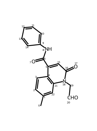 Cc1ccc2c(C(=O)Nc3ccccc3)cc(=O)n(CC=O)c2c1